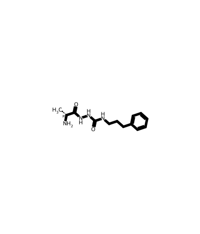 C[C@@H](N)C(=O)NNC(=O)NCCCc1ccccc1